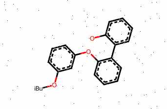 CCC(C)Oc1cccc(Oc2ccccc2-c2ccccc2[O])c1